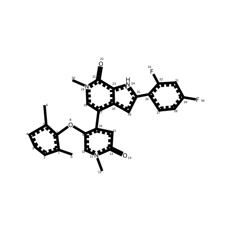 Cc1cccc(C)c1Oc1cn(C)c(=O)cc1-c1cn(C)c(=O)c2[nH]c(-c3ccc(F)cc3F)cc12